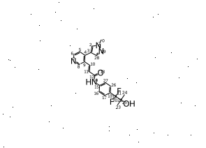 Cn1cc(-c2ccncc2/C=C/C(=O)Nc2ccc(C(F)(F)C(C)(C)O)cc2)cn1